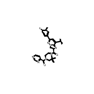 Cc1cc(-c2cc(C(C)C)c3nc(C(=O)N4CCN(C(=O)c5ccncn5)CC4(C)C)cn3n2)ccc1F